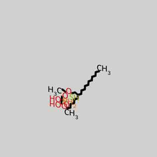 CCCCCCCCCCCCC(CCCCCCC)CC(S)OC(CC)OCC(O)([PH2]=O)C(=O)O